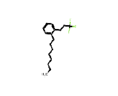 CCCCCCCCc1ccccc1CCC(F)(F)F